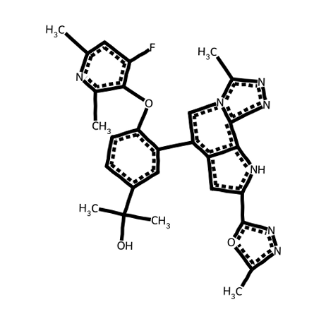 Cc1cc(F)c(Oc2ccc(C(C)(C)O)cc2-c2cn3c(C)nnc3c3[nH]c(-c4nnc(C)o4)cc23)c(C)n1